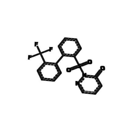 O=c1cccnn1S(=O)(=O)c1ccccc1-c1ccccc1C(F)(F)F